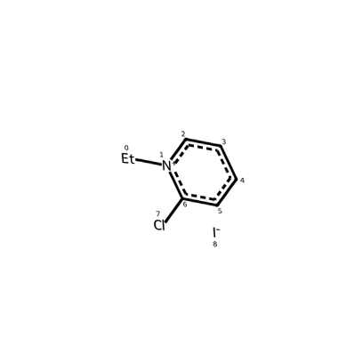 CC[n+]1ccccc1Cl.[I-]